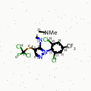 C=Nc1c(SC(F)(Cl)Cl)cnn1-c1c(Cl)cc(C(F)(F)F)cc1Cl.CNC